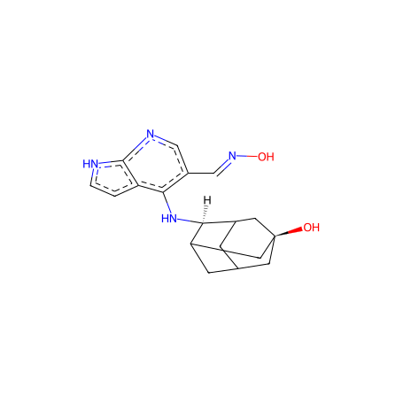 ON=Cc1cnc2[nH]ccc2c1N[C@H]1C2CC3CC1C[C@@](O)(C3)C2